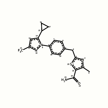 Cc1nc(Cc2ccc(-n3nc(C(F)(F)F)cc3C3CC3)cc2)sc1C(N)=O